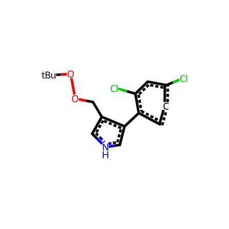 CC(C)(C)OOCc1c[nH]cc1-c1ccc(Cl)cc1Cl